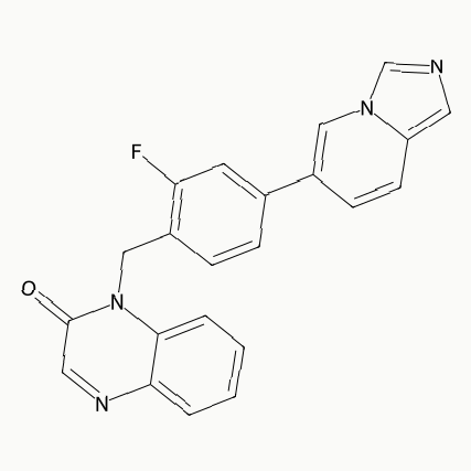 O=c1cnc2ccccc2n1Cc1ccc(-c2ccc3cncn3c2)cc1F